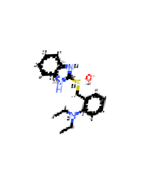 CCN(CC)c1ccccc1C[S+]([O-])c1nc2ccccc2[nH]1